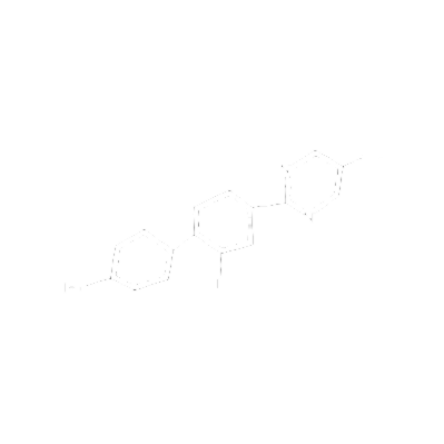 CCCCCCCCc1cnc(-c2ccc(-c3ccc(CCCCCC)cc3)c(F)c2)nc1